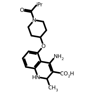 CC(C)C(=O)N1CCC(Oc2cccc3c2C(N)=C(C(=O)O)C(C)N3)CC1